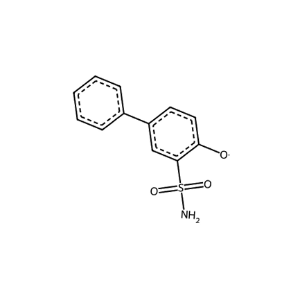 NS(=O)(=O)c1cc(-c2ccccc2)ccc1[O]